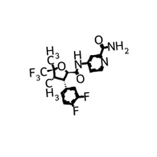 C[C@H]1[C@@H](c2ccc(F)c(F)c2)[C@H](C(=O)Nc2ccnc(C(N)=O)c2)O[C@]1(C)C(F)(F)F